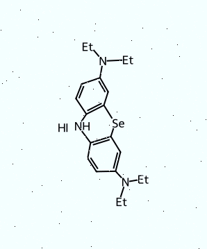 CCN(CC)c1ccc2c(c1)[Se]c1cc(N(CC)CC)ccc1N2.I